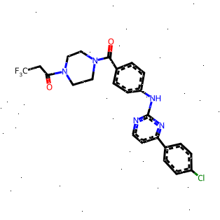 O=C(CC(F)(F)F)N1CCN(C(=O)c2ccc(Nc3nccc(-c4ccc(Cl)cc4)n3)cc2)CC1